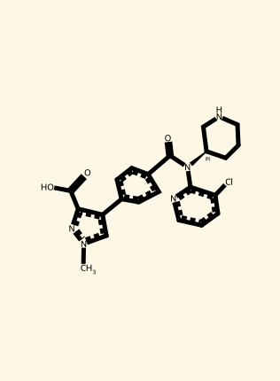 Cn1cc(-c2ccc(C(=O)N(c3ncccc3Cl)[C@@H]3CCCNC3)cc2)c(C(=O)O)n1